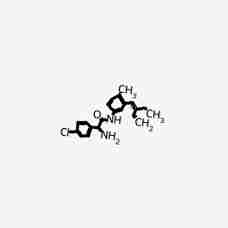 C=C/C(=C\c1cc(NC(=O)C(N)c2ccc(Cl)cc2)ccc1C)CC